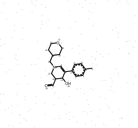 Cc1ccc(C2=CN(CC3CCOCC3)CC(C=O)C2O)cc1